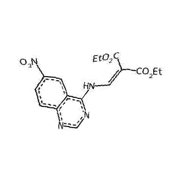 CCOC(=O)C(=CNc1ncnc2ccc([N+](=O)[O-])cc12)C(=O)OCC